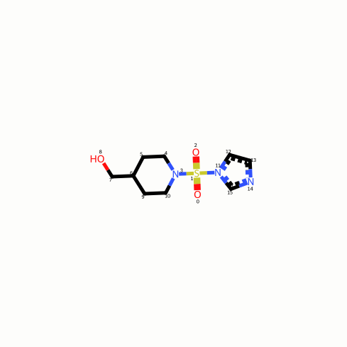 O=S(=O)(N1CCC(CO)CC1)n1ccnc1